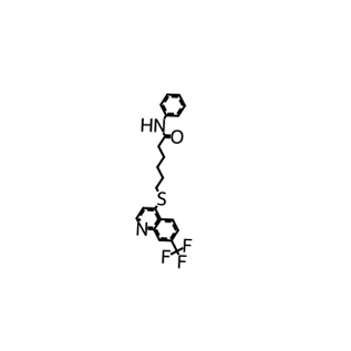 O=C(CCCCCSc1ccnc2cc(C(F)(F)F)ccc12)Nc1ccccc1